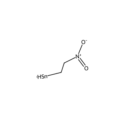 O=[N+]([O-])C[CH2][SnH]